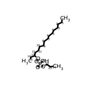 CCCCCCCCCCCCCC(CC)OOP(=O)(O)OCCC